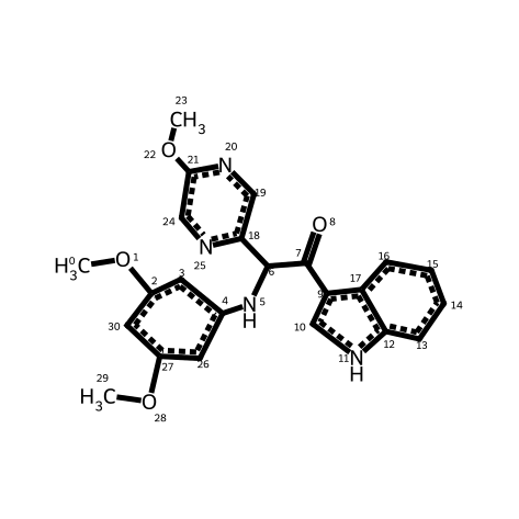 COc1cc(NC(C(=O)c2c[nH]c3ccccc23)c2cnc(OC)cn2)cc(OC)c1